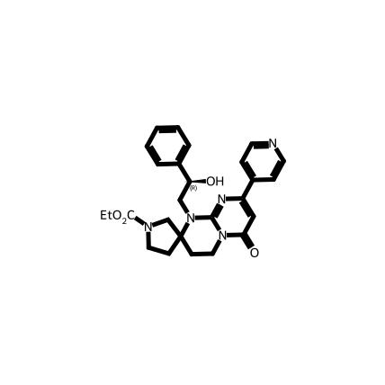 CCOC(=O)N1CCC2(CCn3c(nc(-c4ccncc4)cc3=O)N2C[C@H](O)c2ccccc2)C1